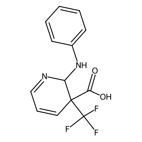 O=C(O)C1(C(F)(F)F)C=CC=NC1Nc1ccccc1